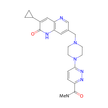 CNC(=O)c1ccc(N2CCN(Cc3cnc4cc(C5CC5)c(=O)[nH]c4c3)CC2)nn1